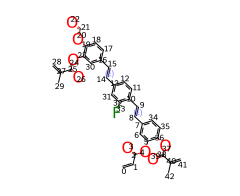 C=CC(=O)Oc1cc(/C=C/c2ccc(/C=C/c3ccc(OC=O)c(OC(=O)C(=C)C)c3)cc2F)ccc1OC(=O)C(=C)C